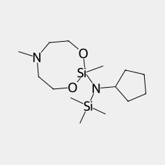 CN1CCO[Si](C)(N(C2CCCC2)[Si](C)(C)C)OCC1